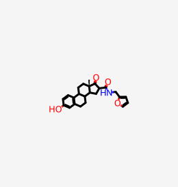 C[C@]12CCC3c4ccc(O)cc4CCC3C1CC(C(=O)NCc1ccco1)C2=O